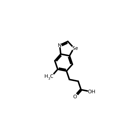 Cc1cc2nc[se]c2cc1CCC(=O)O